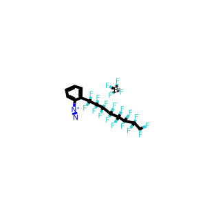 F[B-](F)(F)F.N#[N+]c1ccccc1C(F)(F)C(F)(F)C(F)(F)C(F)(F)C(F)(F)C(F)(F)C(F)(F)C(F)F